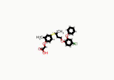 Cc1cc(SC(C)CCOc2ccc(Cl)cc2Oc2ccccc2)ccc1OCC(=O)O